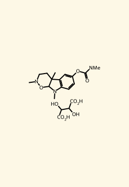 CNC(=O)Oc1ccc2c(c1)C1(C)CCN(C)OC1N2C.O=C(O)C(O)C(O)C(=O)O